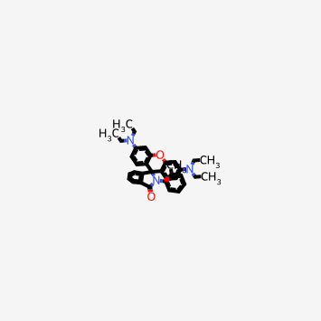 CCN(CC)c1ccc2c(c1)Oc1cc(N(CC)CC)ccc1C21c2ccccc2C(=O)N1c1ccccc1C